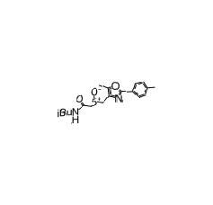 CCC(C)NC(=O)C[S+]([O-])Cc1nc(-c2ccc(C)cc2)oc1C